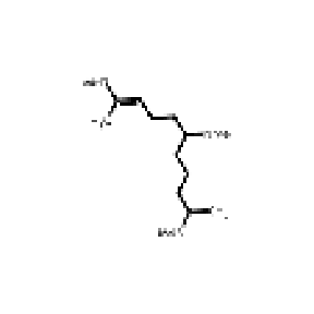 CNC(C)=CCCC(CCCC(C)NC)NC